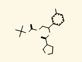 CC(C)(C)OC(=O)NCC(NC(=O)C1CCOC1)c1cccc(Cl)c1